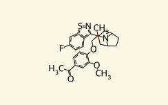 COc1cc(C(C)=O)ccc1OCC(C)N1C2CCC1CC(c1nsc3cc(F)ccc13)C2